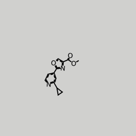 COC(=O)c1coc(-c2ccnc(C3CC3)c2)n1